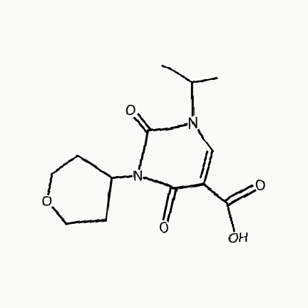 CC(C)n1cc(C(=O)O)c(=O)n(C2CCOCC2)c1=O